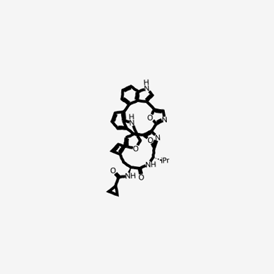 CC(C)[C@@H]1NC(=O)[C@@H](NC(=O)C2CC2)Cc2ccc3c(c2)[C@]24c5cccc(c5NC2O3)-c2cccc3[nH]cc(c23)-c2cnc(o2)-c2nc1oc24